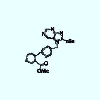 CCCCc1nc2ncncc2n1Cc1ccc(-c2ccccc2C(=O)OC)cc1